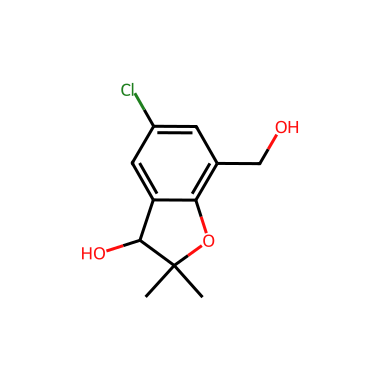 CC1(C)Oc2c(CO)cc(Cl)cc2C1O